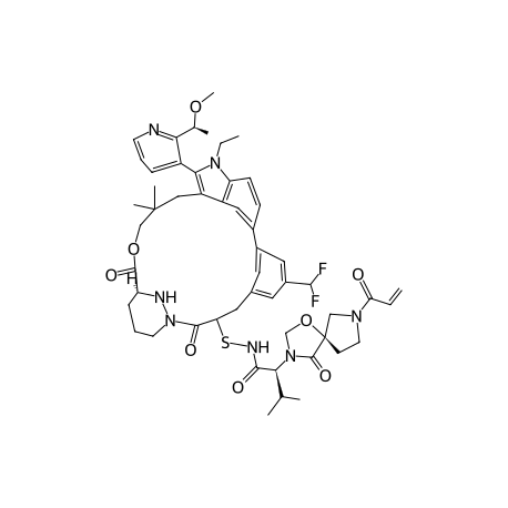 C=CC(=O)N1CC[C@]2(C1)OCN([C@H](C(=O)NSC1Cc3cc(cc(C(F)F)c3)-c3ccc4c(c3)c(c(-c3cccnc3[C@H](C)OC)n4CC)CC(C)(C)COC(=O)[C@@H]3CCCN(N3)C1=O)C(C)C)C2=O